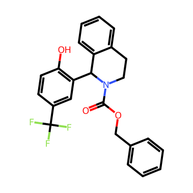 O=C(OCc1ccccc1)N1CCc2ccccc2C1c1cc(C(F)(F)F)ccc1O